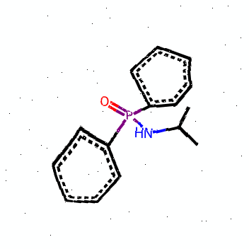 CC(C)NP(=O)(c1ccccc1)c1ccccc1